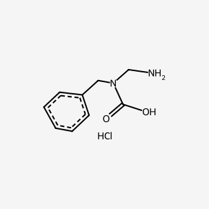 Cl.NCN(Cc1ccccc1)C(=O)O